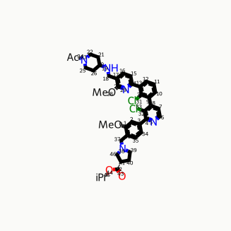 COc1cc(-c2nccc(-c3cccc(-c4ccc(CNC5CCN(C(C)=O)CC5)c(OC)n4)c3Cl)c2Cl)ccc1CN1CC[C@H](C(=O)OC(C)C)C1